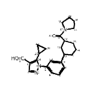 O=C(O)c1cnn(-c2cccc(C3CCCC(C(=O)N4CCCC4)C3)c2)c1C1CC1